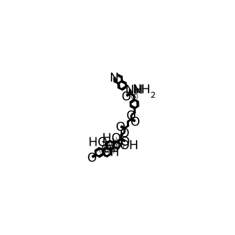 C[C@]12C=CC(=O)C=C1CC[C@H]1[C@@H]3C[C@@H](O)[C@](O)(C(=O)COC(=O)CCC(=O)OCc4ccc([C@@H](CN)C(=O)Nc5ccc6cnccc6c5)cc4)[C@@]3(C)C[C@H](O)[C@@]12F